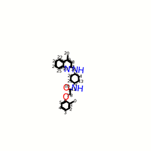 Cc1ccccc1OCC(=O)N[C@H]1CC[C@@H](Nc2cc(C)c3ccccc3n2)CC1